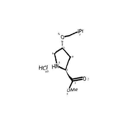 COC(=O)[C@@H]1C[C@@H](OC(C)C)CN1.Cl